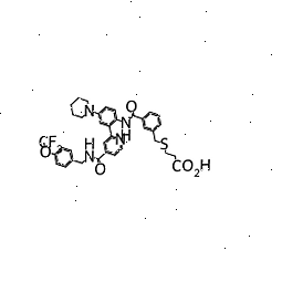 O=C(O)CCSCc1cccc(C(=O)Nc2ccc(N3CCCCC3)cc2-c2cc(C(=O)NCc3ccc(OC(F)(F)F)cc3)ccn2)c1